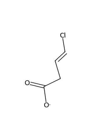 [O]C(=O)C/C=C/Cl